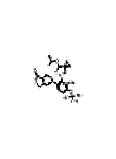 COc1c(OC(O)(O)O)ccc(-c2ccc3c(c2)COC3=O)c1OCC1(C(=O)OC(C)C)CC1